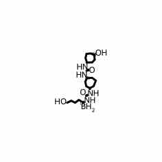 B[C@@H](CCCCO)NC(=O)NC1CCC[C@@H](NC(=O)NC2CCC[C@@H](O)CC2)CC1